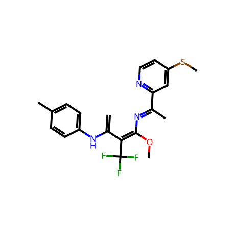 C=C(Nc1ccc(C)cc1)/C(=C(\N=C(/C)c1cc(SC)ccn1)OC)C(F)(F)F